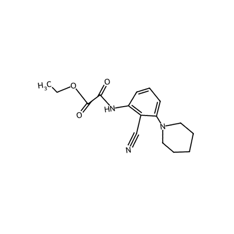 CCOC(=O)C(=O)Nc1cccc(N2CCCCC2)c1C#N